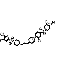 O=C(O)C1CCCN(S(=O)(=O)c2ccc(N3CCC(CCCC4CCN(S(=O)(=O)c5cc(Br)c(Cl)s5)CC4)CC3)c(Cl)c2)C1